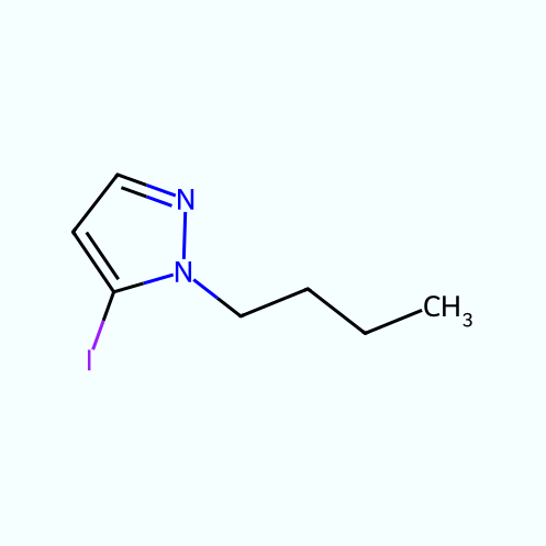 CCCCn1nccc1I